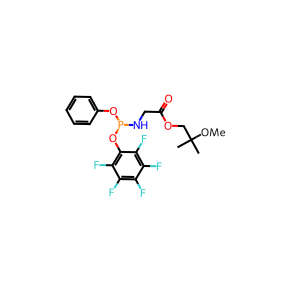 COC(C)(C)COC(=O)CNP(Oc1ccccc1)Oc1c(F)c(F)c(F)c(F)c1F